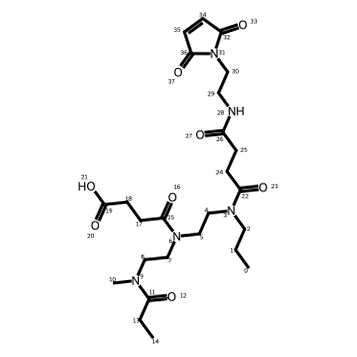 CCCN(CCN(CCN(C)C(=O)CC)C(=O)CCC(=O)O)C(=O)CCC(=O)NCCN1C(=O)C=CC1=O